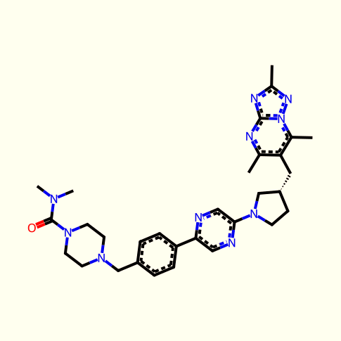 Cc1nc2nc(C)c(C[C@@H]3CCN(c4cnc(-c5ccc(CN6CCN(C(=O)N(C)C)CC6)cc5)cn4)C3)c(C)n2n1